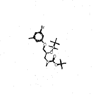 Cc1cc(Br)cc(OCC(CN(C)C(=O)OC(C)(C)C)O[Si](C)(C)C(C)(C)C)c1